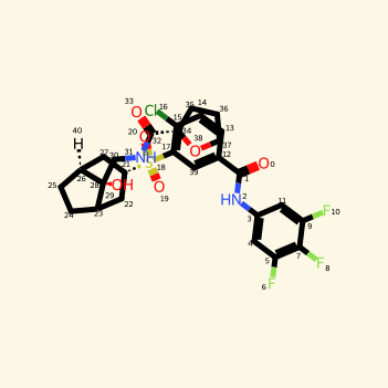 O=C(Nc1cc(F)c(F)c(F)c1)c1ccc(Cl)c(S(=O)(=O)[C@@H]2CC3CC[C@@H](C2)[C@@]3(O)CNC(=O)[C@@H]2CCCO2)c1